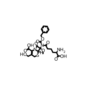 COC1(N(C(=O)CCCC(N)C(=O)O)C(=O)OCc2ccccc2)C(=O)N2C(C(=O)O)=C(CO)CS[C@H]21